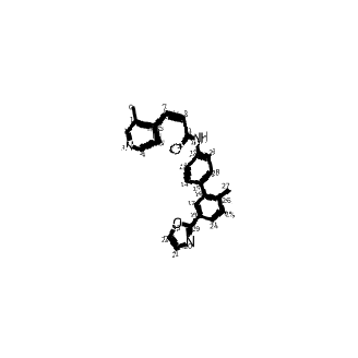 Cc1cnccc1/C=C\C(=O)Nc1ccc(-c2cc(-c3ncco3)ccc2C)cc1